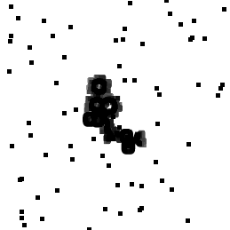 C=C(C)C(=O)OCCN(C)CCC(=O)C1CCCCC2C1C(C=O)CC[C@H]2C1CCCCC1